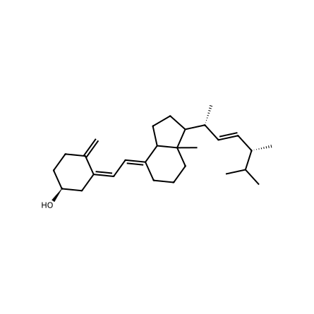 C=C1CC[C@H](O)C/C1=C/C=C1\CCCC2(C)C1CCC2[C@H](C)/C=C/[C@H](C)C(C)C